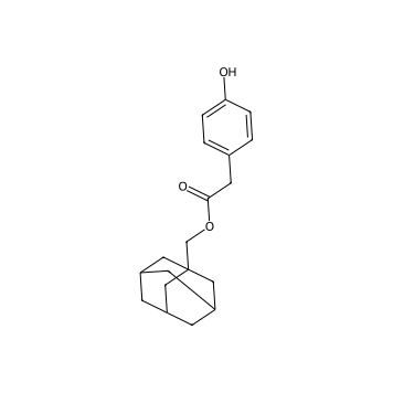 O=C(Cc1ccc(O)cc1)OCC12CC3CC(CC(C3)C1)C2